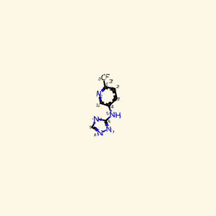 FC(F)(F)c1ccc(NC2=NN=C[N]2)cn1